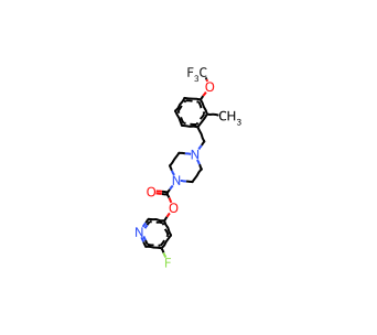 Cc1c(CN2CCN(C(=O)Oc3cncc(F)c3)CC2)cccc1OC(F)(F)F